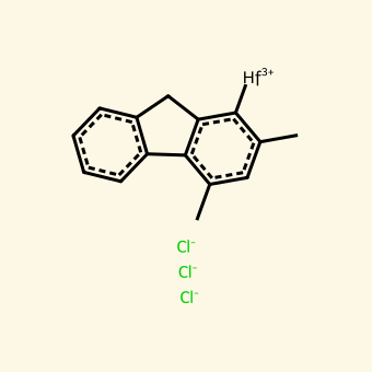 Cc1cc(C)c2c([c]1[Hf+3])Cc1ccccc1-2.[Cl-].[Cl-].[Cl-]